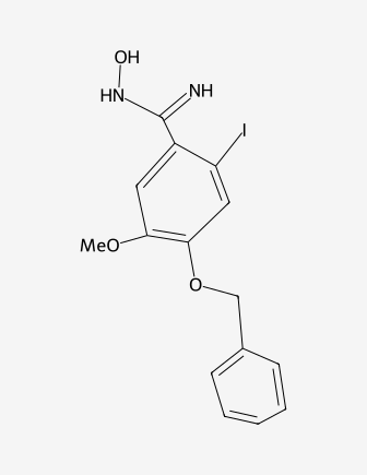 COc1cc(C(=N)NO)c(I)cc1OCc1ccccc1